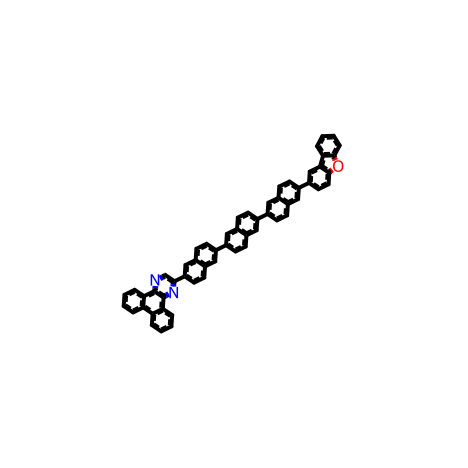 c1ccc2c(c1)oc1ccc(-c3ccc4cc(-c5ccc6cc(-c7ccc8cc(-c9cnc%10c%11ccccc%11c%11ccccc%11c%10n9)ccc8c7)ccc6c5)ccc4c3)cc12